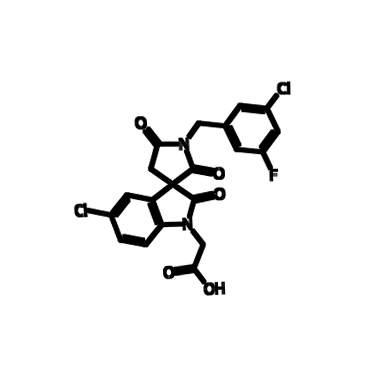 O=C(O)CN1C(=O)C2(CC(=O)N(Cc3cc(F)cc(Cl)c3)C2=O)c2cc(Cl)ccc21